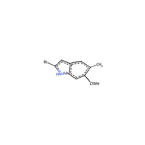 COc1cc2[nH]c(C(C)C)cc2cc1C